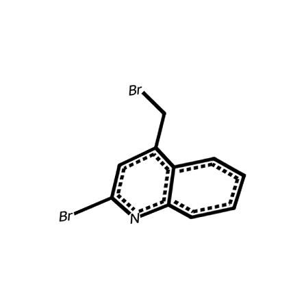 BrCc1cc(Br)nc2ccccc12